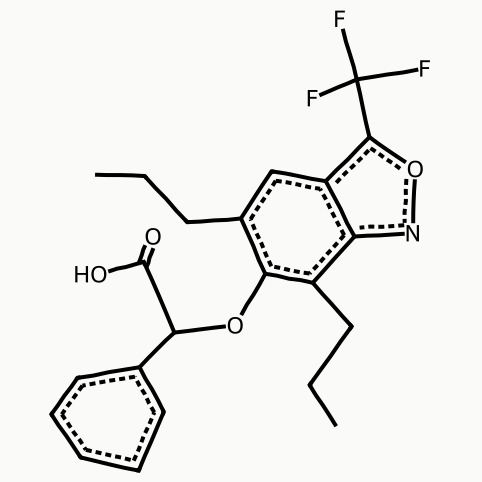 CCCc1cc2c(C(F)(F)F)onc2c(CCC)c1OC(C(=O)O)c1ccccc1